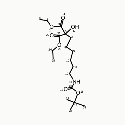 CCOC(=O)C(O)(CCCCCCNC(=O)OC(C)(C)C)C(=O)OCC